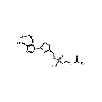 CN/C=N\c1c(C=O)ncn1C1CCC(COP(=O)(O)SCOC(=O)C(C)(C)C)O1